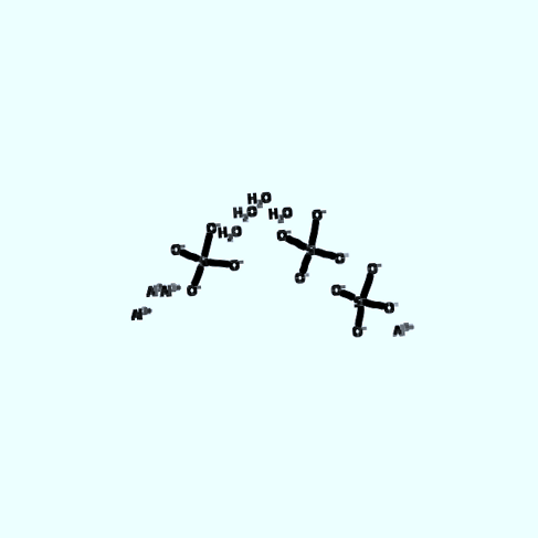 O.O.O.O.[Al+3].[Al+3].[Al+3].[Al+3].[O-][Si]([O-])([O-])[O-].[O-][Si]([O-])([O-])[O-].[O-][Si]([O-])([O-])[O-]